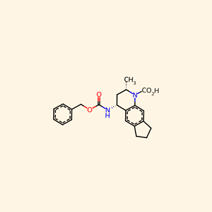 C[C@H]1C[C@@H](NC(=O)OCc2ccccc2)c2cc3c(cc2N1C(=O)O)CCC3